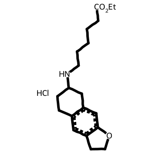 CCOC(=O)CCCCCNC1CCc2cc3c(cc2C1)OCC3.Cl